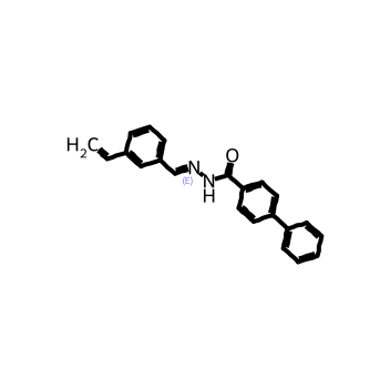 C=Cc1cccc(/C=N/NC(=O)c2ccc(-c3ccccc3)cc2)c1